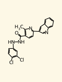 Cc1nc(-c2cnc3ccccc3c2)ccc1C(=O)NNc1ccc(Cl)c(Cl)c1